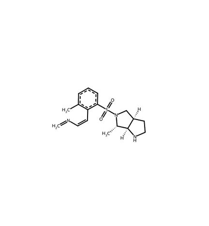 C=N/C=C\c1c(C)cccc1S(=O)(=O)N1C[C@H]2CCN[C@H]2[C@@H]1C